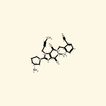 CC#CCn1c(N2CCC[C@@H](N)C2)nc2c(=O)n(C)n(Cc3ccccc3C#N)c(=O)c21